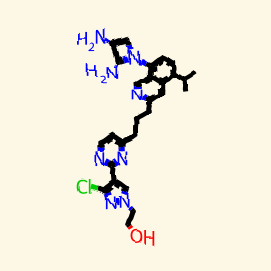 CC(C)c1ccc(N2C[C@H](N)[C@H]2N)c2cnc(CCCc3ccnc(-c4cn(CCO)nc4Cl)n3)cc12